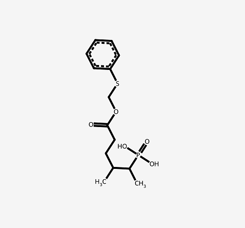 CC(CCC(=O)OCSc1ccccc1)C(C)P(=O)(O)O